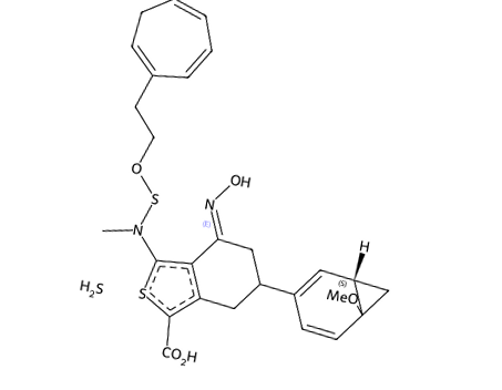 COC12C=CC(C3C/C(=N\O)c4c(N(C)SOCCC5=CCC=CC=C5)sc(C(=O)O)c4C3)=C[C@@H]1C2.S